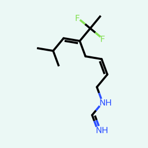 CC(C)/C=C(\C/C=C\CNC=N)C(C)(F)F